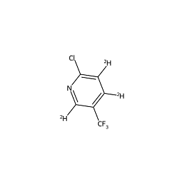 [2H]c1nc(Cl)c([2H])c([2H])c1C(F)(F)F